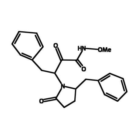 CONC(=O)C(=O)C(Cc1ccccc1)N1C(=O)CCC1Cc1ccccc1